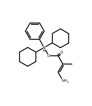 CC(=C[SiH3])C(=O)[O][BiH]([c]1ccccc1)([CH]1CCCCC1)[CH]1CCCCC1